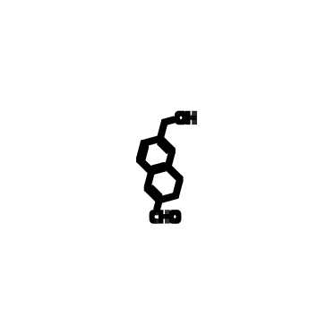 O=CC1=Cc2ccc(CO)cc2CC1